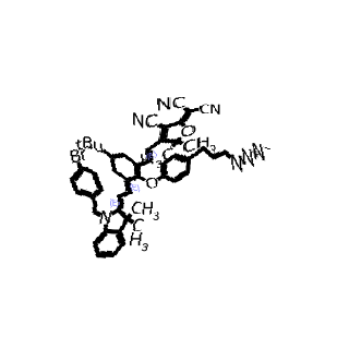 CC1(C)OC(=C(C#N)C#N)C(C#N)=C1/C=C/C1=C(Oc2ccc(CCCN=[N+]=[N-])cc2)C(=C/C=C2/N(Cc3ccc(Br)cc3)c3ccccc3C2(C)C)/CC(C(C)(C)C)C1